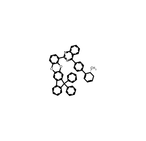 C[C@@H]1CC=CC=C1c1ccc(-c2nc(-c3cccc4c3Oc3cc5c(cc3O4)-c3ccccc3C5(c3ccccc3)c3ccccc3)nc3ccccc23)cc1